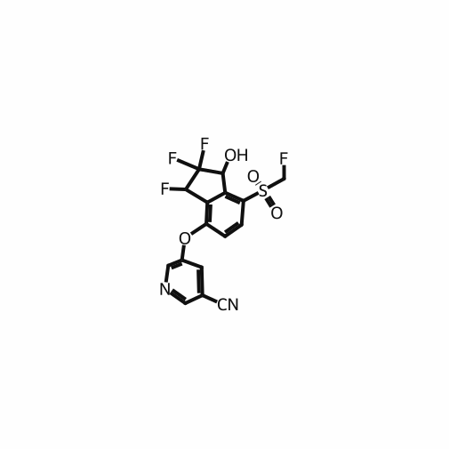 N#Cc1cncc(Oc2ccc(S(=O)(=O)CF)c3c2C(F)C(F)(F)C3O)c1